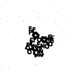 COC(=O)c1c(C(F)F)nc(C(F)(F)F)c(C2=NCCS2)c1CC(C)C.O=C(O)c1cc(Oc2ccc(C(F)(F)F)cc2Cl)ccc1[N+](=O)[O-]